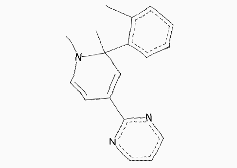 Cc1ccccc1C1(C)C=C(c2ncccn2)C=CN1C